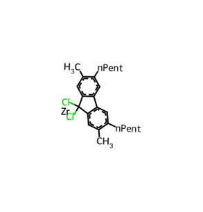 CCCCCc1cc2c(cc1C)C(Cl)(Cl)c1cc(C)c(CCCCC)cc1-2.[Zr]